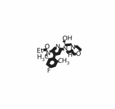 CCC(=O)N(C)c1cnc(N2C[C@H]3COCCN3C[C@H]2CO)cc1-c1ccc(F)cc1C